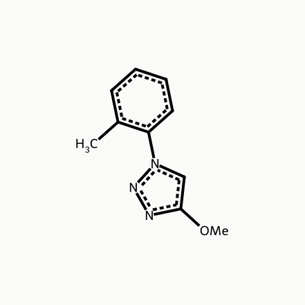 COc1cn(-c2ccccc2C)nn1